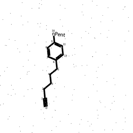 [C]#CCCCCc1ccc(CCCCC)cc1